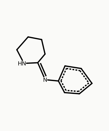 c1ccc(/N=C2\CCCCN2)cc1